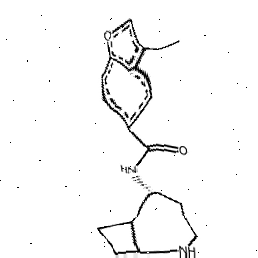 Cc1coc2ccc(C(=O)N[C@@H]3CCNC4CCC43)cc12